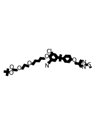 CSc1ncc(COc2ccc(C(C)(C)c3cc(Cl)c(OCCCCCOCCCOCC(=O)OC(C)(C)C)c(C#N)c3)cc2)cn1